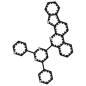 c1cncc(-c2cc(-c3nc4c(ccc5c6ccccc6sc54)c4ccccc34)nc(-c3cccnc3)n2)c1